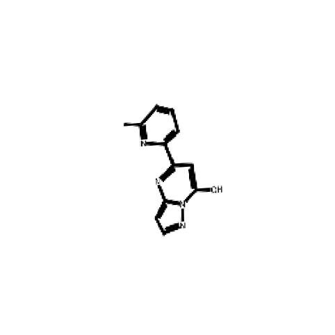 Cc1cccc(-c2cc(O)n3nccc3n2)n1